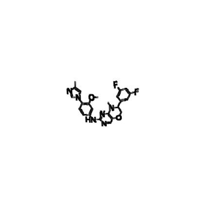 COc1cc(Nc2ncc3c(n2)N(C)C(c2cc(F)cc(F)c2)CO3)ccc1-n1cnc(C)c1